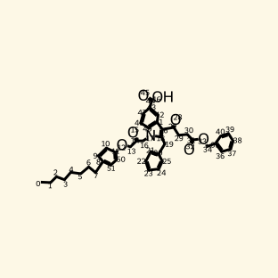 CCCCCCCCc1ccc(OCC(=O)Cn2c(Cc3ccccc3)c(C(=O)CCC(=O)OCc3ccccc3)c3cc(C(=O)O)ccc32)cc1